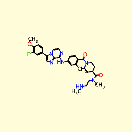 CNCCN(C)C(=O)C1CCN(C(=O)c2ccc(Nc3nccn4c(-c5ccc(OC)c(F)c5)cnc34)cc2C)CC1